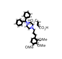 COc1ccc(C=CCN2CCN(C(c3ccccc3)c3ccccc3)CC2)c(OC)c1OC.O=C(O)/C=C/C(=O)O